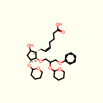 O=C(O)CCC/C=C\C[C@H]1C(O)C[C@@H](OC2CCCCO2)[C@@H]1OCC(COc1ccccc1)OC1CCCCO1